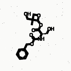 CC1(CO)COC1OC(=O)[C@H](CO)NC(=O)OCc1ccccc1